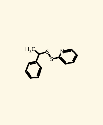 CC(SSc1ccccn1)c1ccccc1